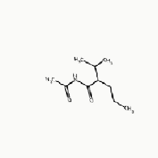 CCCC(C(=O)NC(C)=O)C(C)C